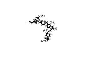 CNc1nc(NC2CCN(Cc3ccc4c(cc(C#N)n4C[C@H](C)N4CCN(S(=O)(=O)NC)CC4)c3C)CC2)c2cc(CC(F)(F)F)sc2n1